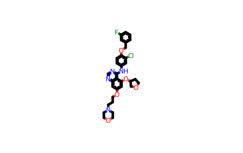 Fc1cccc(COc2ccc(Nc3ncnc4cc(OCCCN5CCOCC5)cc(OC5CCOC5)c34)cc2Cl)c1